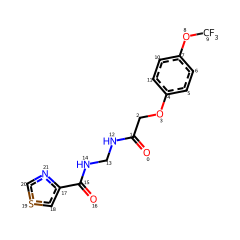 O=C(COc1ccc(OC(F)(F)F)cc1)NCNC(=O)c1cscn1